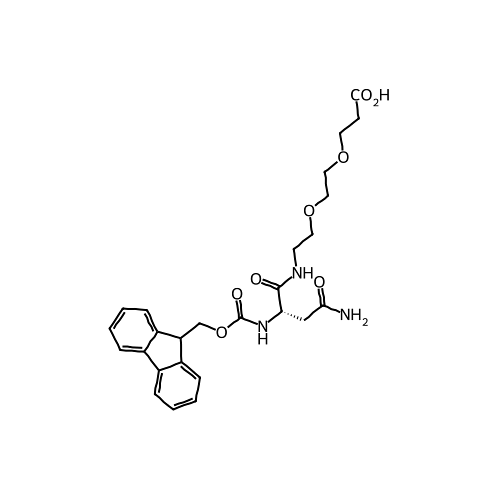 NC(=O)C[C@H](NC(=O)OCC1c2ccccc2-c2ccccc21)C(=O)NCCOCCOCCC(=O)O